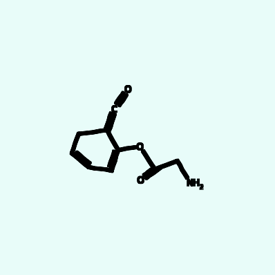 NCC(=O)OC1=CC=CCC1=C=O